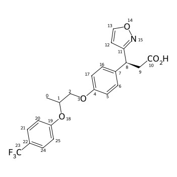 CC(COc1ccc([C@H](CC(=O)O)c2ccon2)cc1)Oc1ccc(C(F)(F)F)cc1